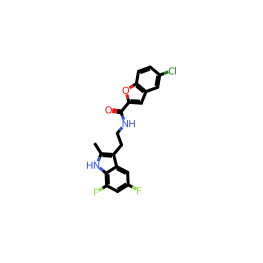 Cc1[nH]c2c(F)cc(F)cc2c1CCNC(=O)c1cc2cc(Cl)ccc2o1